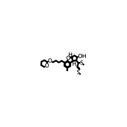 CSC=CC(SC)C1C(O)C[C@H]2Oc3c(CCCCOC4CCCCO4)cc(C)cc3[C@@H]12